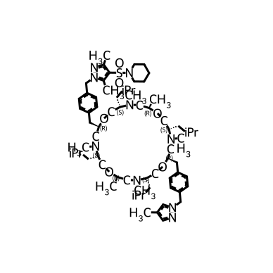 Cc1cnn(Cc2ccc(C[C@@H]3CN(C)[C@@H](CC(C)C)CO[C@H](C)CN(C)[C@@H](CC(C)C)CO[C@H](Cc4ccc(Cn5nc(C)c(S(=O)(=O)N6CCCCC6)c5C)cc4)CN(C)[C@@H](CC(C)C)CO[C@H](C)CN(C)[C@@H](CC(C)C)CO3)cc2)c1